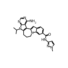 CC(C)n1c2c(c3c(N)ncnc31)-c1cc3ccc(C(=O)Nc4ccn(C)n4)cc3n1CCC2